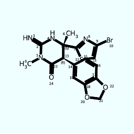 CN1C(=N)N[C@](C)(c2nc(Br)cs2)[C@@H](c2ccc3c(c2)OCO3)C1=O